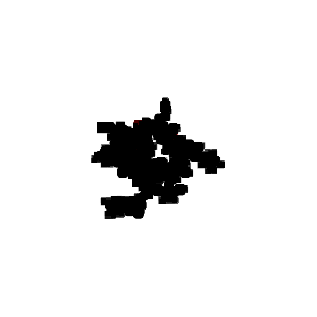 C#CCOC(=O)C(C)(CC(C)(Br)C(=O)Oc1ccc2c(c1)Oc1cc(C)ccc1C21OC(=O)c2ccccc21)CC(C)(CC(C)(C)C(=O)COC(C)(COC(=O)C(C)(C)CC(C)(CC(C)(CC(C)(Br)C(=O)Oc1ccc2c(c1)Oc1cc(O)ccc1C21OC(=O)c2ccccc21)C(=O)OCC#C)C(=O)OCCOP(=O)(O)OCC[N+](C)(C)C)C(=O)OCCN1C(=O)C=CC1=O)C(=O)OCCOP(=O)(O)OCC[N+](C)(C)C